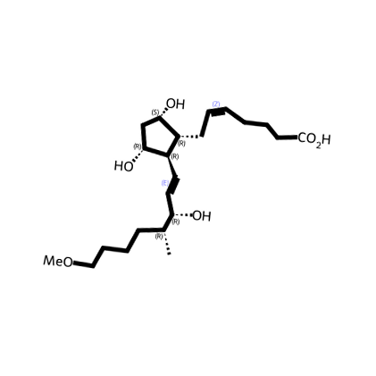 COCCCC[C@@H](C)[C@@H](O)/C=C/[C@@H]1[C@@H](C/C=C\CCCC(=O)O)[C@@H](O)C[C@H]1O